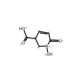 O=C(O)C1C=CC(=O)N(O)C1